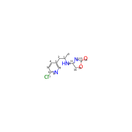 CC(Cc1ccc(Cl)nc1)NC1=NC(=O)OC1